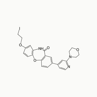 O=C1Nc2cc(OCCI)ccc2Oc2ccc(-c3ccnc(N4CCOCC4)c3)cc21